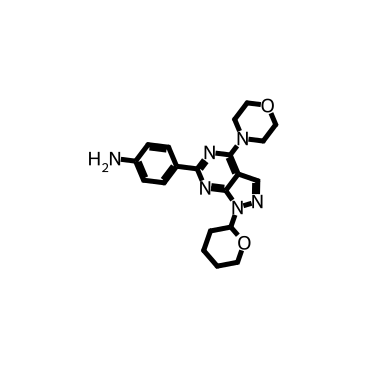 Nc1ccc(-c2nc(N3CCOCC3)c3cnn(C4CCCCO4)c3n2)cc1